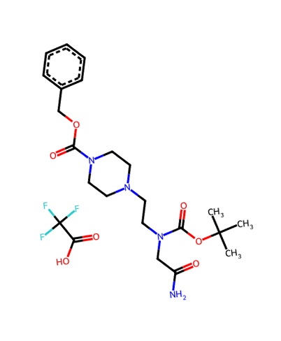 CC(C)(C)OC(=O)N(CCN1CCN(C(=O)OCc2ccccc2)CC1)CC(N)=O.O=C(O)C(F)(F)F